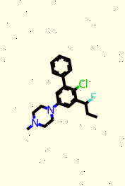 CCC(F)c1cc(N2CCN(C)CC2)cc(-c2ccccc2)c1Cl